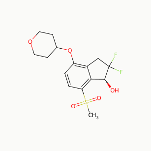 CS(=O)(=O)c1ccc(OC2CCOCC2)c2c1[C@H](O)C(F)(F)C2